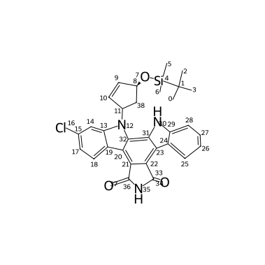 CC(C)(C)[Si](C)(C)O[C@@H]1C=CC(n2c3cc(Cl)ccc3c3c4c(c5c6ccccc6[nH]c5c32)C(=O)NC4=O)C1